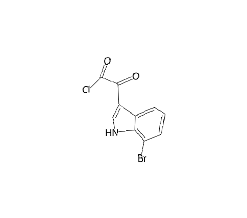 O=C(Cl)C(=O)c1c[nH]c2c(Br)cccc12